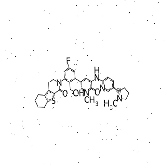 CN1CCC[C@@H]1c1ccc(Nc2cc(-c3cc(F)cc(N4CCc5c(sc6c5CCCC6)C4=O)c3CO)cn(C)c2=O)nc1